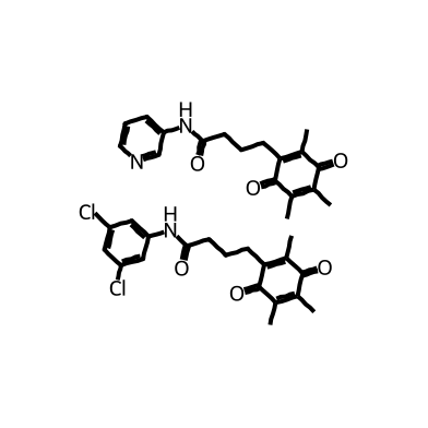 CC1=C(C)C(=O)C(CCCC(=O)Nc2cc(Cl)cc(Cl)c2)=C(C)C1=O.CC1=C(C)C(=O)C(CCCC(=O)Nc2cccnc2)=C(C)C1=O